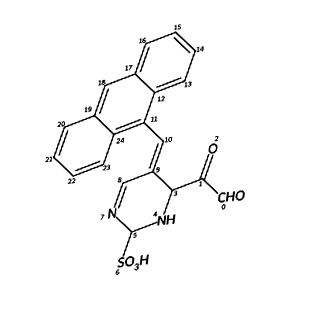 O=CC(=O)C1NC(S(=O)(=O)O)N=CC1=Cc1c2ccccc2cc2ccccc12